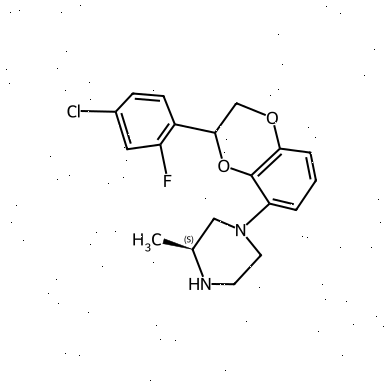 C[C@H]1CN(c2cccc3c2OC(c2ccc(Cl)cc2F)CO3)CCN1